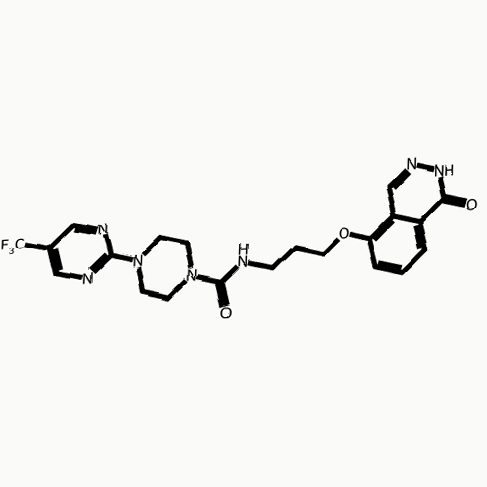 O=C(NCCCOc1cccc2c(=O)[nH]ncc12)N1CCN(c2ncc(C(F)(F)F)cn2)CC1